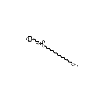 CCCCCCCCCCCCCCCCOC(=O)NCCCN1CCOCC1